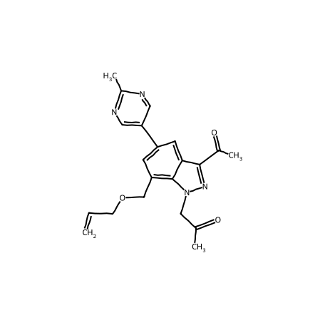 C=CCOCc1cc(-c2cnc(C)nc2)cc2c(C(C)=O)nn(CC(C)=O)c12